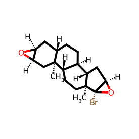 C[C@]12C[C@H]3O[C@H]3C[C@@H]1CC[C@@H]1[C@@H]2CC[C@@]2(C)[C@H]1C[C@H]1O[C@]12Br